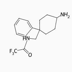 NC1CCC(CNC(=O)C(F)(F)F)(c2ccccc2)CC1